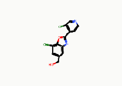 OCc1cc(Cl)c2oc(-c3ccncc3Cl)nc2c1